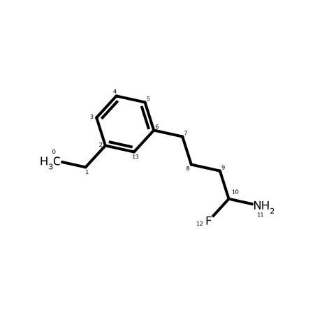 CCc1cccc(CCCC(N)F)c1